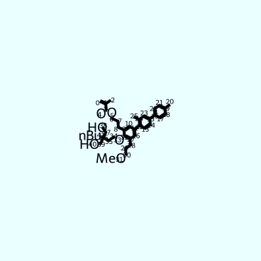 C=C(C)C(=O)OCCCc1cc(-c2ccc(-c3ccc(C)cc3)cc2C)cc(CCCOC)c1OCCC(CO)(CO)CCCC